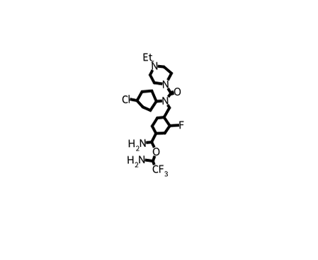 CCN1CCN(C(=O)N(CC2CCC(C(N)OC(N)C(F)(F)F)CC2F)C2CCC(Cl)CC2)CC1